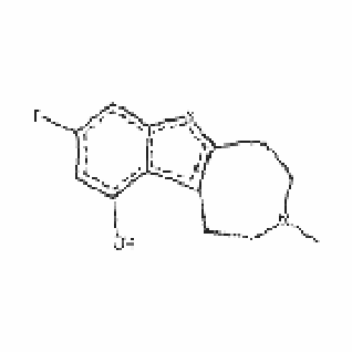 CN1CCc2sc3cc(F)cc(O)c3c2CC1